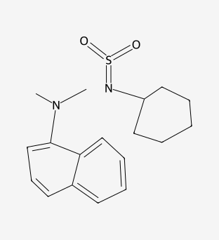 CN(C)c1cccc2ccccc12.O=S(=O)=NC1CCCCC1